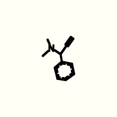 C#CC(c1ccccc1)N(C)C